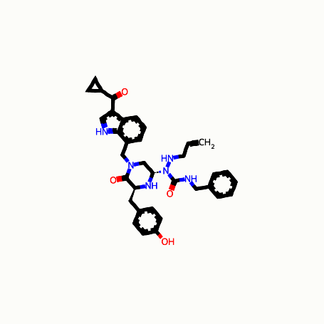 C=CCNN(C(=O)NCc1ccccc1)[C@H]1CN(Cc2cccc3c(C(=O)C4CC4)c[nH]c23)C(=O)[C@H](Cc2ccc(O)cc2)N1